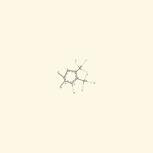 Cc1cc(C(F)(F)F)c(C(F)(F)F)c(F)c1C